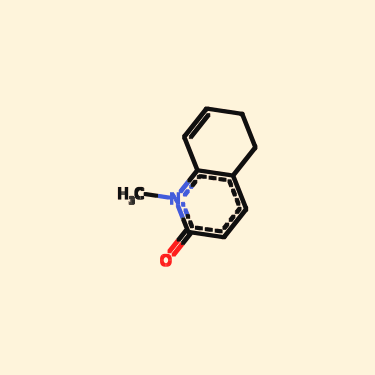 Cn1c2c(ccc1=O)CCC=C2